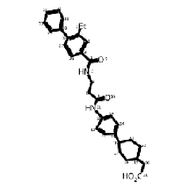 CCc1cc(C(=O)NCCC(=O)Nc2ccc(C3CCC(CC(=O)O)CC3)cc2)ccc1-c1ccccc1